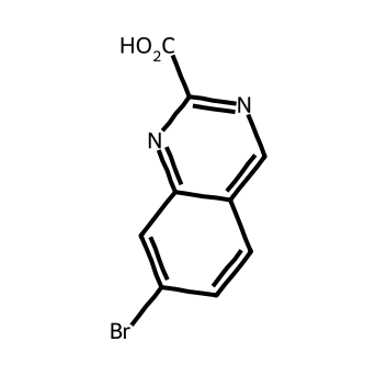 O=C(O)c1ncc2ccc(Br)cc2n1